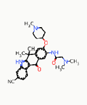 CN(C)CC(=O)Nc1cc2c(cc1OC1CCN(C)CC1)C(C)(C)c1[nH]c3cc(C#N)ccc3c1C2=O